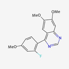 COc1ccc(-c2ncnc3cc(OC)c(OC)cc23)c(F)c1